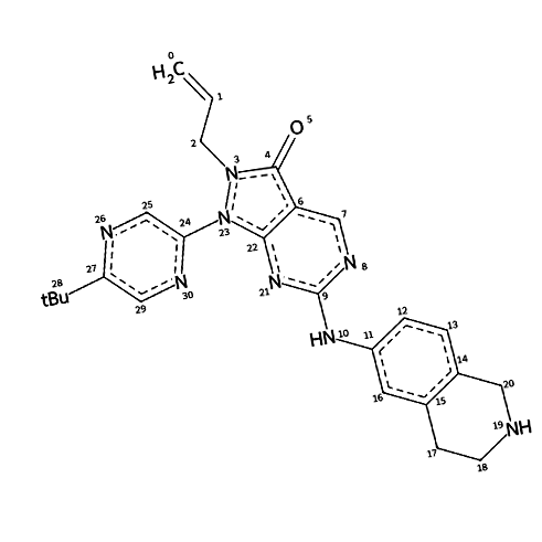 C=CCn1c(=O)c2cnc(Nc3ccc4c(c3)CCNC4)nc2n1-c1cnc(C(C)(C)C)cn1